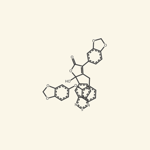 O=C1OC(O)(c2ccc3nsnc3c2)C(Cc2ccccc2Oc2ccc3c(c2)OCO3)=C1c1ccc2c(c1)OCO2